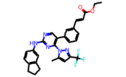 CCOC(=O)/C=C/c1cccc(-c2cnc(Nc3ccc4c(c3)CCC4)nc2-n2nc(C(F)(F)F)cc2C)c1